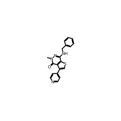 Cn1nc(NCc2ccccc2)c2scc(-c3ccncc3)c2c1=O